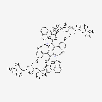 CC(CCC(COc1cccc(-c2c3/c(=C(\C#N)c4nc5ccccc5s4)n(B4Oc5ccccc5O4)c(-c4cccc(OCC(CCC(C)CC(C)(C)C)C(C)CC(C)(C)C)c4)c3/c(=C(\C#N)c3nc4ccccc4s3)n2B2Oc3ccccc3O2)c1)C(C)CC(C)(C)C)CC(C)(C)C